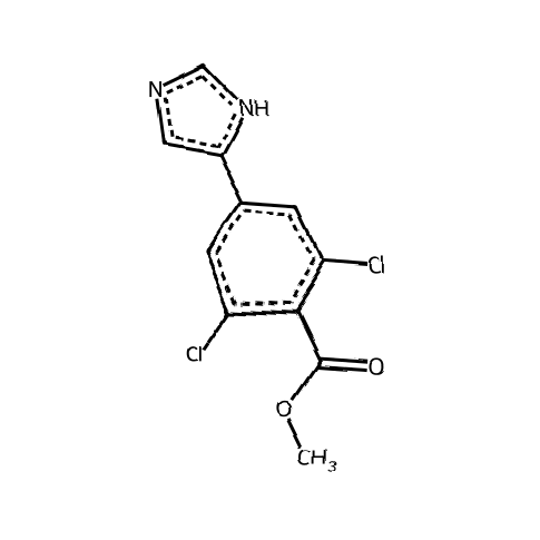 COC(=O)c1c(Cl)cc(-c2cnc[nH]2)cc1Cl